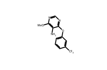 COc1ncnc(Oc2cccc(C(F)(F)F)c2)c1N